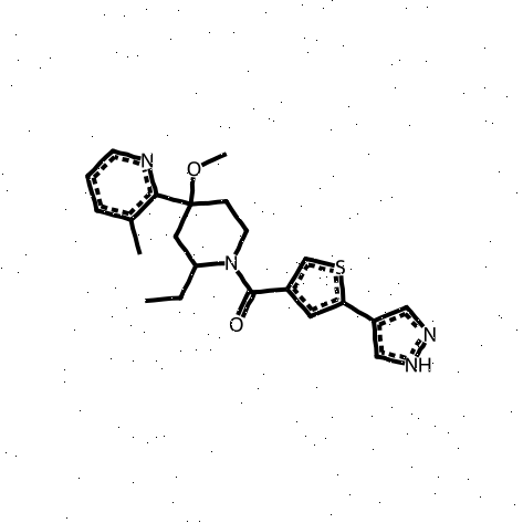 CCC1CC(OC)(c2ncccc2C)CCN1C(=O)c1csc(-c2cn[nH]c2)c1